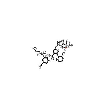 COCCNC(=O)c1cc(C#N)cc(C)c1NC(=O)c1cc(Cn2nnc(C(F)(C(F)(F)F)C(F)(F)F)n2)nn1-c1ncccc1Cl